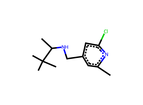 Cc1cc(CNC(C)C(C)(C)C)cc(Cl)n1